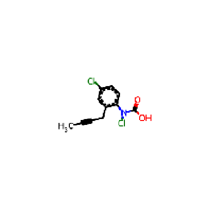 CC#CCc1cc(Cl)ccc1N(Cl)C(=O)O